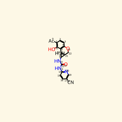 CC(=O)c1ccc2c(c1O)[C@@H]1C(NC(=O)Nc3ccc(C#N)cn3)[C@H]1CO2